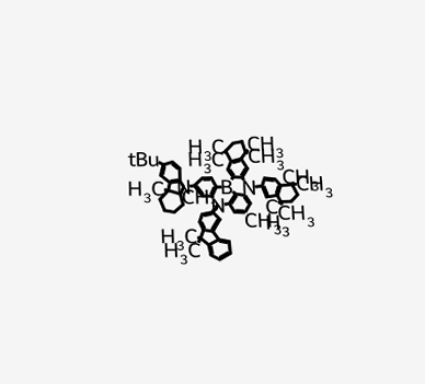 Cc1cc2c3c(c1)N(c1ccc4c(c1)C(C)(C)CCC4(C)C)c1cc4c(cc1B3c1ccc(N3c5ccc(C(C)(C)C)cc5C5(C)CCCCC35C)cc1N2c1ccc2c(c1)-c1ccccc1C2(C)C)C(C)(C)CCC4(C)C